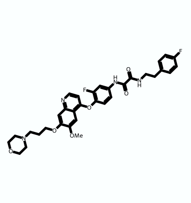 COc1cc2c(Oc3ccc(NC(=O)C(=O)NCCc4ccc(F)cc4)cc3F)ccnc2cc1OCCCN1CCOCC1